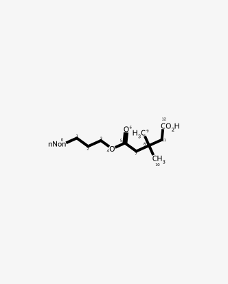 CCCCCCCCCCCCOC(=O)CC(C)(C)CC(=O)O